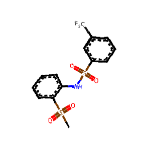 CS(=O)(=O)c1ccccc1NS(=O)(=O)c1cccc(C(F)(F)F)c1